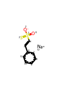 O=S([O-])(=S)C=Cc1ccccc1.[Na+]